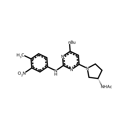 CCCCc1cc(N2CC[C@H](NC(C)=O)C2)nc(Nc2ccc(C)c([N+](=O)[O-])c2)n1